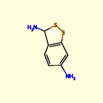 Nc1ccc2c(c1)SSC2N